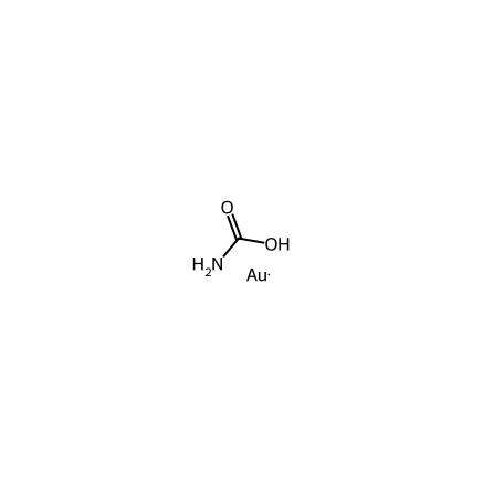 NC(=O)O.[Au]